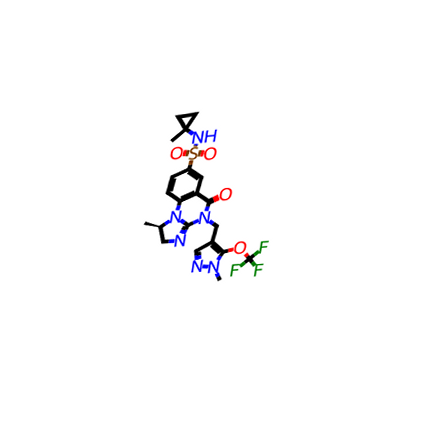 C[C@@H]1CN=C2N(Cc3cnn(C)c3OC(F)(F)F)C(=O)c3cc(S(=O)(=O)NC4(C)CC4)ccc3N21